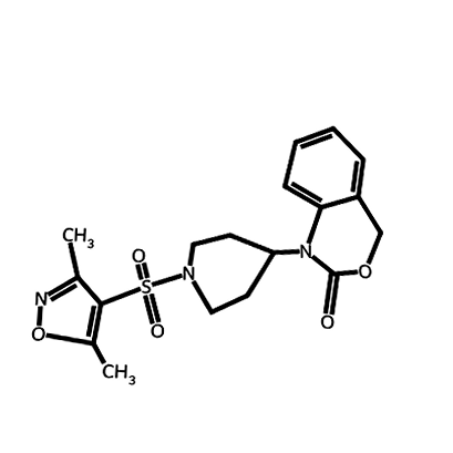 Cc1noc(C)c1S(=O)(=O)N1CCC(N2C(=O)OCc3ccccc32)CC1